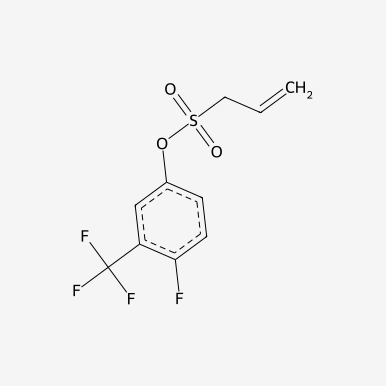 C=CCS(=O)(=O)Oc1ccc(F)c(C(F)(F)F)c1